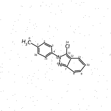 Cc1ccc(-n2nc3ccccc3c2Cl)cc1